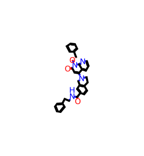 O=C(NCCc1ccccc1)c1ccc2c(c1)CN(c1cc(=O)n(OCc3ccccc3)c3ncccc13)CC2